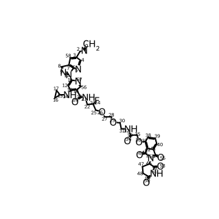 C=NCc1cnc2c(cnn2-c2cc(NC3CC3)c(C(=O)NCC(F)COCCOCCNC(=O)COc3cccc4c3C(=O)N(C3CCC(=O)NC3=O)C4=O)cn2)c1